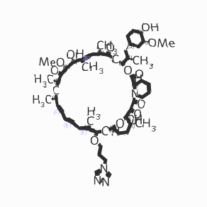 CO[C@@H]1C[C@H](C[C@@H](C)[C@@H]2CC(=O)[C@H](C)/C=C(\C)[C@@H](O)[C@@H](OC)C(=O)[C@H](C)C[C@H](C)/C=C/C=C/C=C(\C)C(OCCCn3cnnc3)C[C@@H]3CC[C@@H](C)[C@@](O)(O3)C(=O)C(=O)N3CCCC[C@H]3C(=O)O2)CC[C@H]1O